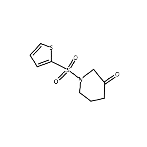 O=C1CCCN(S(=O)(=O)c2cccs2)C1